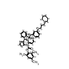 Cc1cc(C)c(OC(=O)NC2=CC=NC(Nc3cccc(OCCCN4CCCCC4)c3)(c3ccccc3)N2Cc2cscn2)c(C)c1